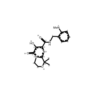 CNc1ccccc1CNC(=O)c1nc2n(c(=O)c1O)CCOC2(C)C